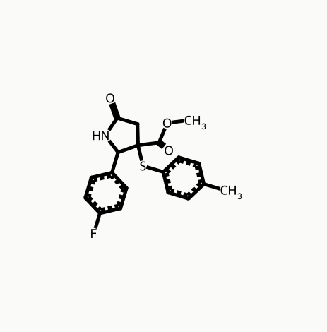 COC(=O)C1(Sc2ccc(C)cc2)CC(=O)NC1c1ccc(F)cc1